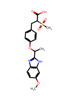 COc1ccc2nc(C(C)Oc3ccc(CC(C(=O)O)S(C)(=O)=O)cc3)[nH]c2c1